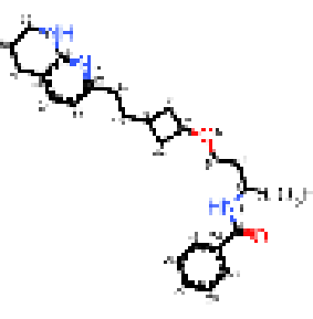 O=C(N[C@@H](CCOC1CC(CCc2ccc3c(n2)NCCC3)C1)C(=O)O)c1ccccc1